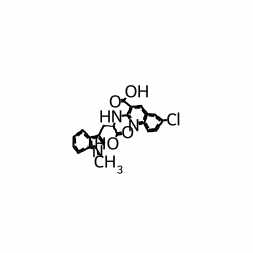 Cn1cc(C[C@@H](Nc2nc3ccc(Cl)cc3cc2C(=O)O)C(=O)O)c2ccccc21